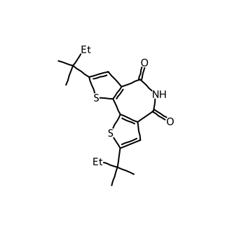 CCC(C)(C)c1cc2c(=O)[nH]c(=O)c3cc(C(C)(C)CC)sc3c2s1